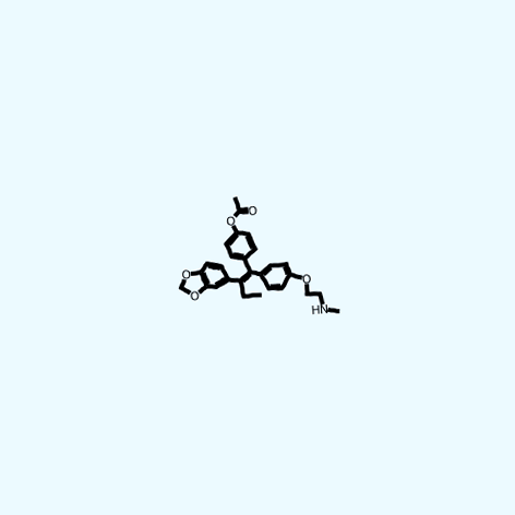 CCC(=C(c1ccc(OCCNC)cc1)c1ccc(OC(C)=O)cc1)c1ccc2c(c1)OCO2